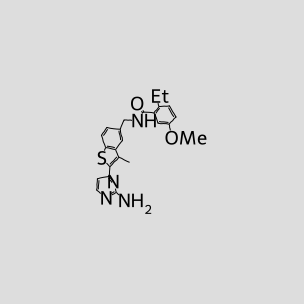 CCc1ccc(OC)cc1C(=O)NCc1ccc2sc(-c3ccnc(N)n3)c(C)c2c1